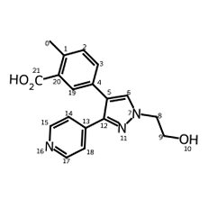 Cc1ccc(-c2cn(CCO)nc2-c2ccncc2)cc1C(=O)O